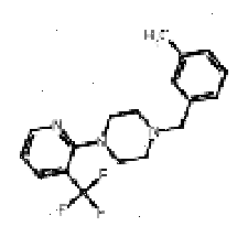 Cc1cccc(CN2CCN(c3ncccc3C(F)(F)F)CC2)c1